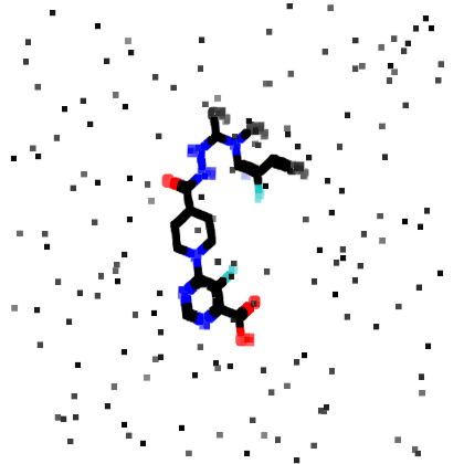 C=C/C(F)=C\N(C)C(C)NNC(=O)C1CCN(c2ncnc(C(=O)O)c2F)CC1